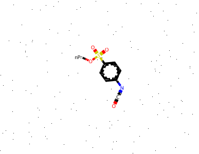 CCCOS(=O)(=O)c1ccc(N=C=O)cc1